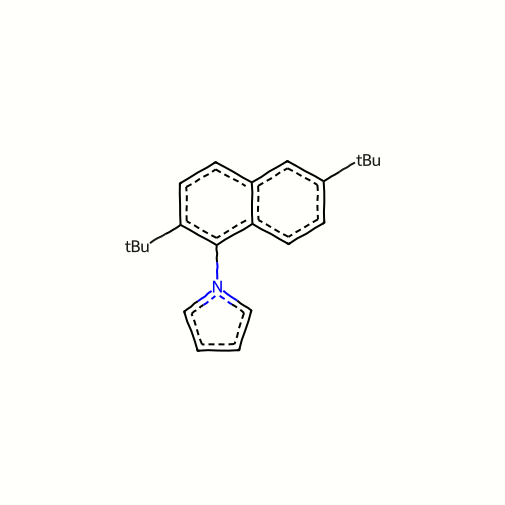 CC(C)(C)c1ccc2c(-n3cccc3)c(C(C)(C)C)ccc2c1